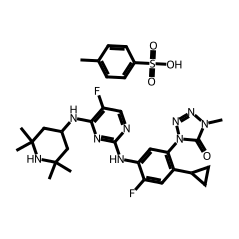 Cc1ccc(S(=O)(=O)O)cc1.Cn1nnn(-c2cc(Nc3ncc(F)c(NC4CC(C)(C)NC(C)(C)C4)n3)c(F)cc2C2CC2)c1=O